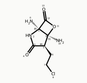 N[C@@]12NC(=O)[C@H](CCCl)[C@]1(N)OC2=O